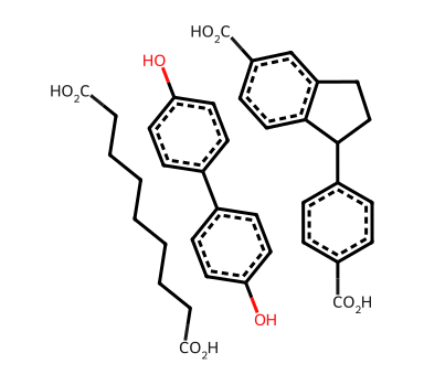 O=C(O)CCCCCCCC(=O)O.O=C(O)c1ccc(C2CCc3cc(C(=O)O)ccc32)cc1.Oc1ccc(-c2ccc(O)cc2)cc1